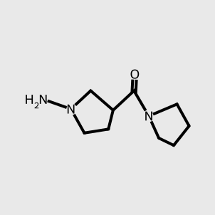 NN1CCC(C(=O)N2CCCC2)C1